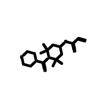 C=CC(=O)OC1CC(C)(C)N(C(=O)N2CCOCC2)C(C)(C)C1